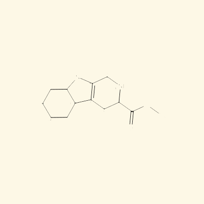 O=C(OI)C1CC2=C(CN1)NC1CCCCC21